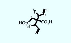 C=CC(F)C(CC(=O)O)(C(=O)O)C(F)C=C